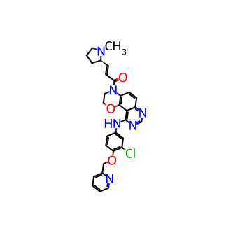 CN1CCC[C@@H]1/C=C/C(=O)N1CCOc2c1ccc1ncnc(Nc3ccc(OCc4ccccn4)c(Cl)c3)c21